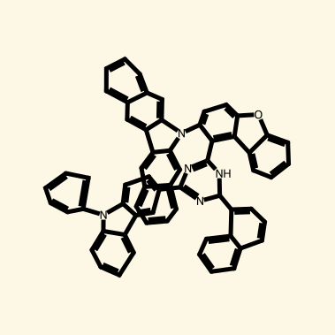 c1ccc(-n2c3ccccc3c3cc(C4=NC(c5cccc6ccccc56)NC(c5c(-n6c7cc8ccccc8cc7c7cc8ccccc8cc76)ccc6oc7ccccc7c56)=N4)ccc32)cc1